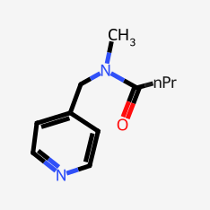 CCCC(=O)N(C)Cc1ccncc1